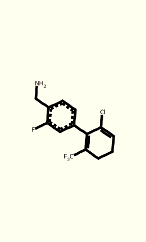 NCc1ccc(C2=C(C(F)(F)F)[CH]CC=C2Cl)cc1F